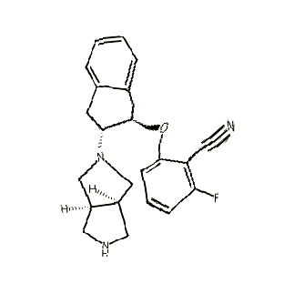 N#Cc1c(F)cccc1O[C@@H]1c2ccccc2C[C@H]1N1C[C@H]2CNC[C@H]2C1